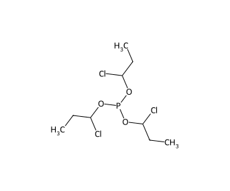 CCC(Cl)OP(OC(Cl)CC)OC(Cl)CC